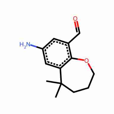 CC1(C)CCCOc2c(C=O)cc(N)cc21